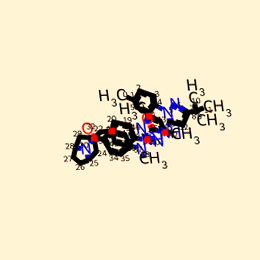 Cc1ccc(-n2nc(C(C)(C)C)cc2NC(=O)Nc2ccc(CC3CC4CCC(C3)N4C(=O)c3ccc(N(C)c4nc(C)cc(C)n4)cc3)cc2)cc1